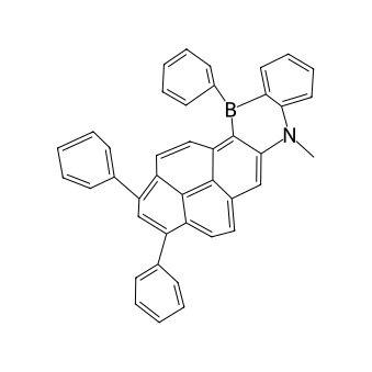 CN1c2ccccc2B(c2ccccc2)c2c1cc1ccc3c(-c4ccccc4)cc(-c4ccccc4)c4ccc2c1c34